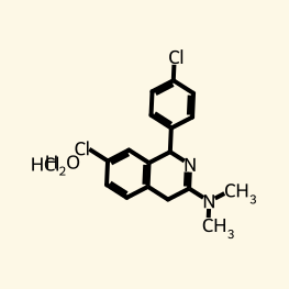 CN(C)C1=NC(c2ccc(Cl)cc2)c2cc(Cl)ccc2C1.Cl.O